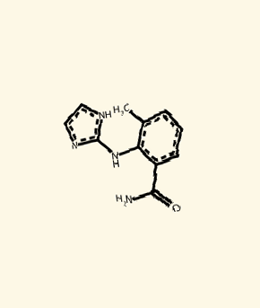 Cc1cccc(C(N)=O)c1Nc1ncc[nH]1